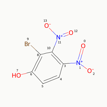 O=[N+]([O-])c1ccc(O)c(Br)c1[N+](=O)[O-]